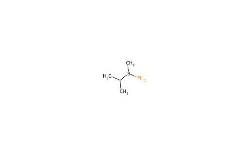 CB(P)C(C)C